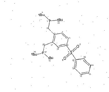 CC(C)(C)P(Cc1ccc(S(=O)(=O)c2ccccc2)cc1CP(C(C)(C)C)C(C)(C)C)C(C)(C)C